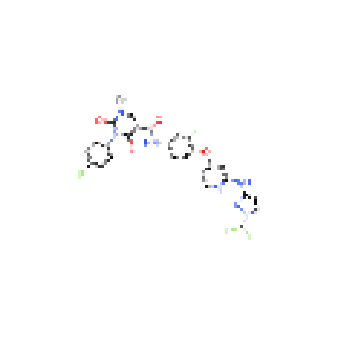 CC(C)n1cc(C(=O)Nc2ccc(Oc3ccnc(Nc4ccn(C(F)F)n4)c3)c(F)c2)c(=O)n(-c2ccc(F)cc2)c1=O